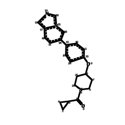 O=C(C1CC1)N1CCC(Oc2ccc(-c3ccc4cncn4c3)cc2)CC1